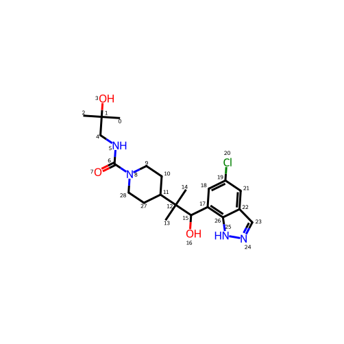 CC(C)(O)CNC(=O)N1CCC(C(C)(C)C(O)c2cc(Cl)cc3cn[nH]c23)CC1